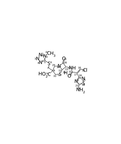 Cn1nnnc1SCC1(C(=O)O)CS[C@@H]2C(NC(=O)C(=CCl)c3nsc(N)n3)C(=O)N2C1